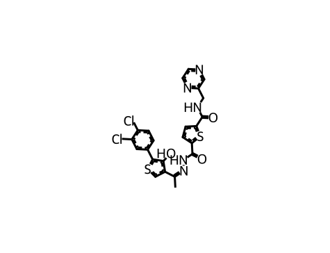 CC(=NNC(=O)c1ccc(C(=O)NCc2cnccn2)s1)c1csc(-c2ccc(Cl)c(Cl)c2)c1O